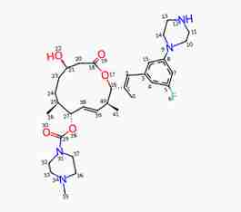 C/C(=C\c1cc(F)cc(N2CCNCC2)c1)[C@H]1OC(=O)C[C@H](O)CC[C@H](C)[C@@H](OC(=O)N2CCN(C)CC2)/C=C/[C@@H]1C